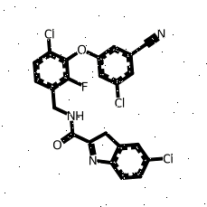 N#Cc1cc(Cl)cc(Oc2c(Cl)ccc(CNC(=O)C3=Nc4ccc(Cl)cc4C3)c2F)c1